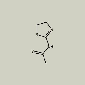 CC(=O)NC1=NCCS1